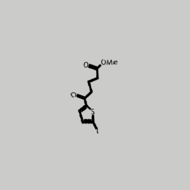 COC(=O)CCCC(=O)c1ccc(I)s1